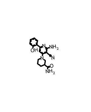 N#Cc1c(N2CCCC(C(N)=O)C2)cc(-c2ccccc2O)nc1N